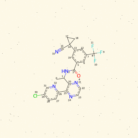 CC(NC(=O)c1cc(C(F)(F)F)cc(C2(C#N)CC2)c1)c1nccnc1-c1ccc(Cl)cn1